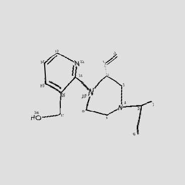 C=C[C@@H]1CN(C(C)C)CCN1c1ncccc1CO